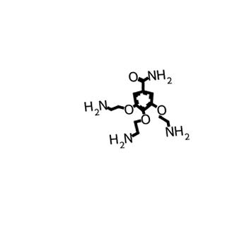 NCCOc1cc(C(N)=O)cc(OCCN)c1OCCN